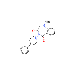 CCCCN1CC(=O)N(N2CCC(c3ccccc3)CC2)C(=O)c2ccccc21